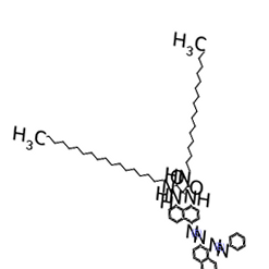 CCCCCCCCCCCCCCCCCCNC(=O)C1(C(=O)NCCCCCCCCCCCCCCCCCC)Nc2cccc3c(/N=N/c4ccc5ccccc5c4/N=N/c4ccccc4)ccc(c23)N1